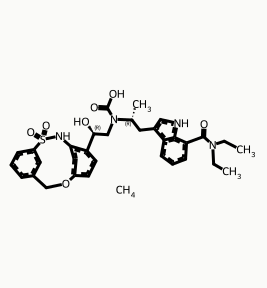 C.CCN(CC)C(=O)c1cccc2c(C[C@@H](C)N(C[C@H](O)c3ccc4cc3NS(=O)(=O)c3cccc(c3)CO4)C(=O)O)c[nH]c12